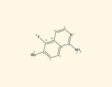 CC(C)(C)c1ccc2c(N)nccc2c1F